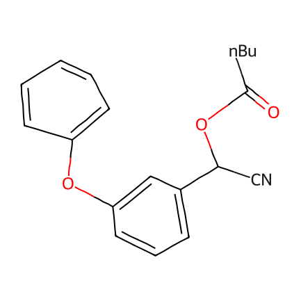 CCCCC(=O)OC(C#N)c1cccc(Oc2ccccc2)c1